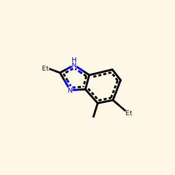 CCc1nc2c(C)c(CC)ccc2[nH]1